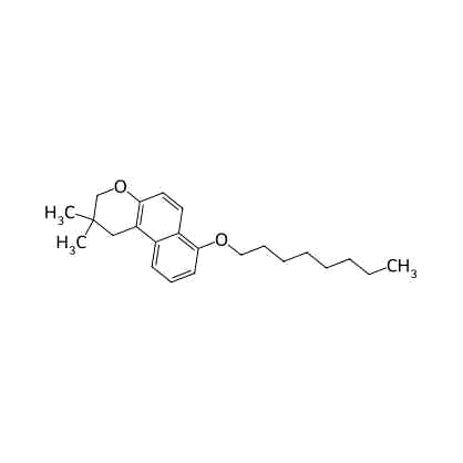 CCCCCCCCOc1cccc2c3c(ccc12)OCC(C)(C)C3